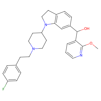 COc1ncccc1C(O)c1ccc2c(c1)N(C1CCN(CCc3ccc(F)cc3)CC1)CC2